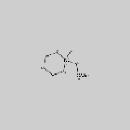 COC[N+]1(C)CCCCC1